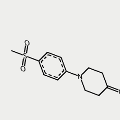 CS(=O)(=O)c1ccc(N2CCC(=O)CC2)cc1